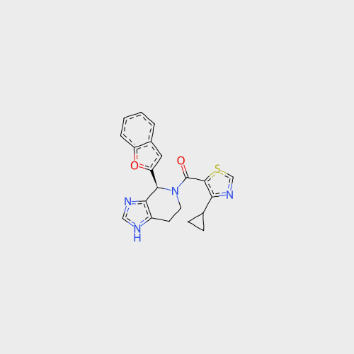 O=C(c1scnc1C1CC1)N1CCc2[nH]cnc2[C@H]1c1cc2ccccc2o1